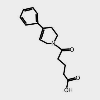 O=C(O)CCCC(=O)N1CC=C(c2ccccc2)CC1